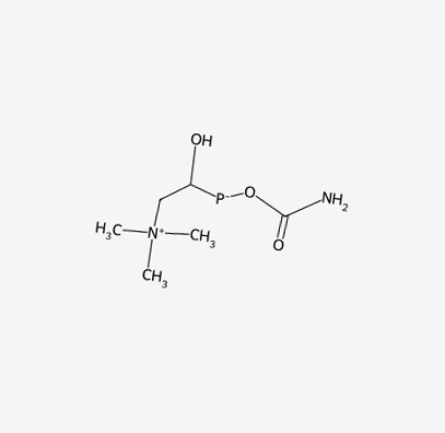 C[N+](C)(C)CC(O)[P-]OC(N)=O